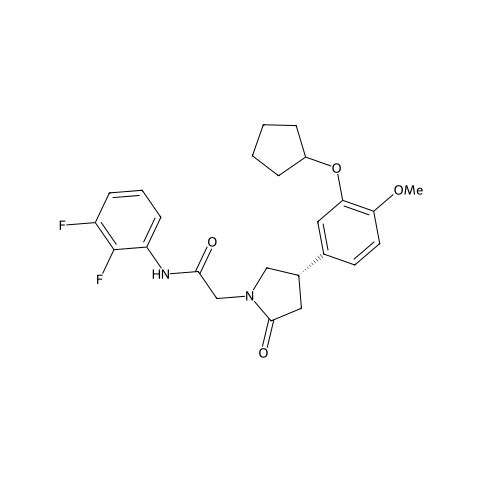 COc1ccc([C@@H]2CC(=O)N(CC(=O)Nc3cccc(F)c3F)C2)cc1OC1CCCC1